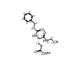 COC(=O)CC[C@H](NC(=O)OCc1ccccc1)C(=O)NCC#N